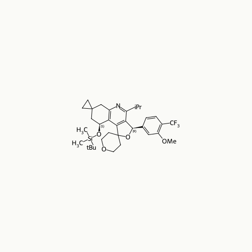 COc1cc([C@H]2OC3(CCOCC3)c3c2c(C(C)C)nc2c3[C@@H](O[Si](C)(C)C(C)(C)C)CC3(CC3)C2)ccc1C(F)(F)F